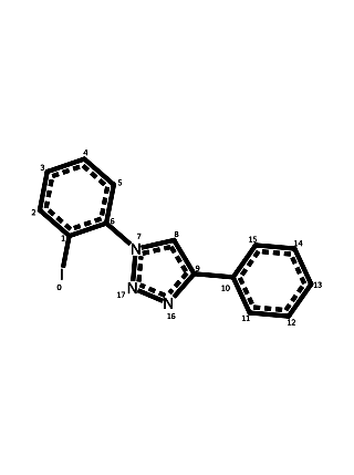 Ic1ccccc1-n1cc(-c2ccccc2)nn1